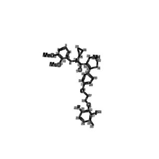 COc1cccc(CN(C(=O)C2=C(c3ccc(OCCOc4c(F)ccc(C)c4F)cc3)CCNC2)C2CC2)c1OC